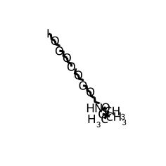 CC(C)(C)OC(=O)NCCCCOCCOCCOCCOCCOCCOCCOCCI